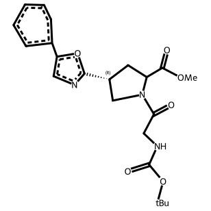 COC(=O)C1C[C@@H](c2ncc(-c3ccccc3)o2)CN1C(=O)CNC(=O)OC(C)(C)C